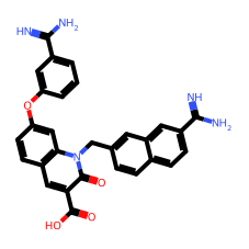 N=C(N)c1cccc(Oc2ccc3cc(C(=O)O)c(=O)n(Cc4ccc5ccc(C(=N)N)cc5c4)c3c2)c1